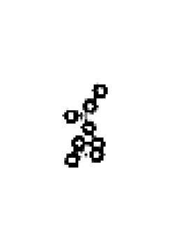 c1ccc(-c2ccc(N(c3ccccc3)c3ccc(-c4ccc5ccccc5c4-c4cccc5c4oc4ccccc45)cc3)cc2)cc1